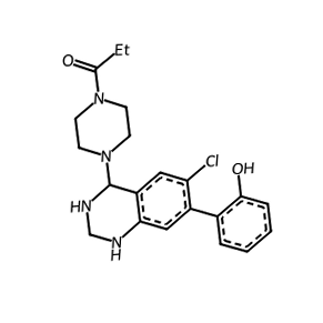 CCC(=O)N1CCN(C2NCNc3cc(-c4ccccc4O)c(Cl)cc32)CC1